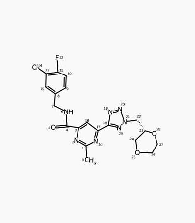 Cc1nc(C(=O)NCc2ccc(F)c(Cl)c2)cc(-c2nnn(C[C@H]3COCCO3)n2)n1